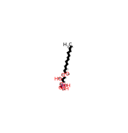 CCCCCCCCCCCCCC(=O)OCC(O)COP(=O)(O)O